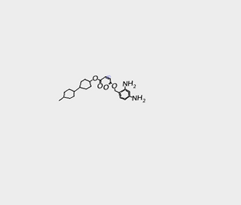 CC1CCC(C2CCC(OC(=O)/C=C\C(=O)OCc3ccc(N)cc3N)CC2)CC1